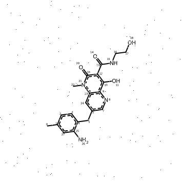 Cc1ccc(Cc2cnc3c(O)c(C(=O)NCCO)c(=O)n(C)c3c2)c(N)c1